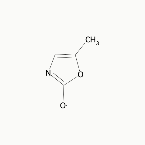 Cc1cnc([O])o1